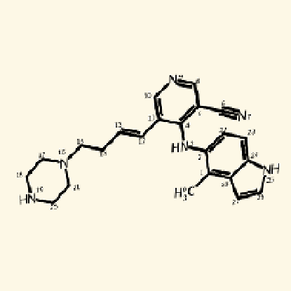 Cc1c(Nc2c(C#N)cncc2C=CCCN2CCNCC2)ccc2[nH]ccc12